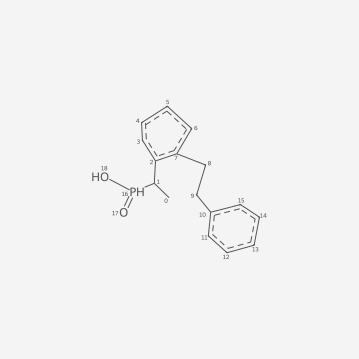 CC(c1ccccc1CCc1ccccc1)[PH](=O)O